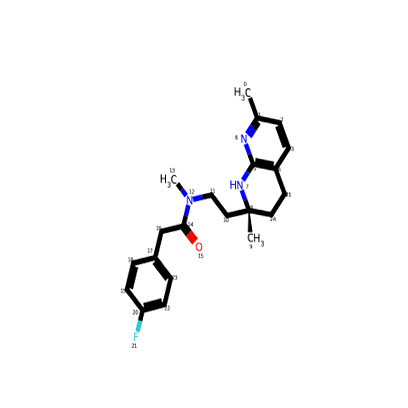 Cc1ccc2c(n1)N[C@@](C)(CCN(C)C(=O)Cc1ccc(F)cc1)CC2